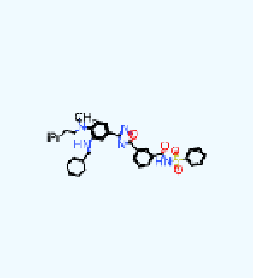 CC(C)CCN(C)c1ccc(-c2noc(-c3cccc(C(=O)NS(=O)(=O)c4ccccc4)c3)n2)cc1NCC1=CCCCC1